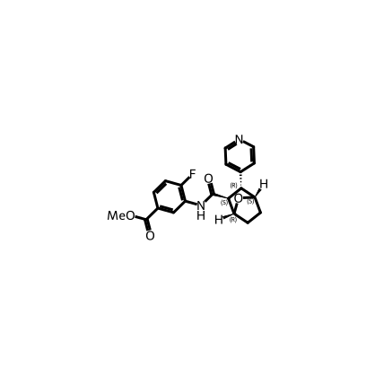 COC(=O)c1ccc(F)c(NC(=O)[C@H]2[C@H](c3ccncc3)[C@@H]3CC[C@H]2O3)c1